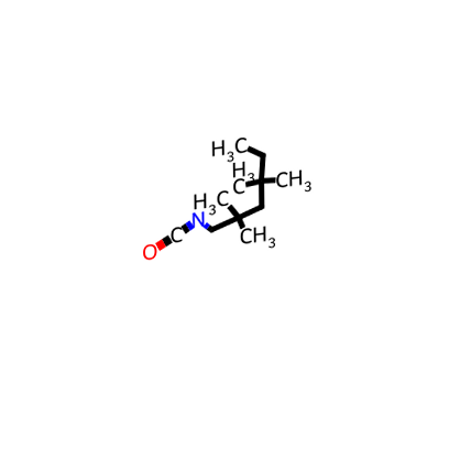 CCC(C)(C)CC(C)(C)CN=C=O